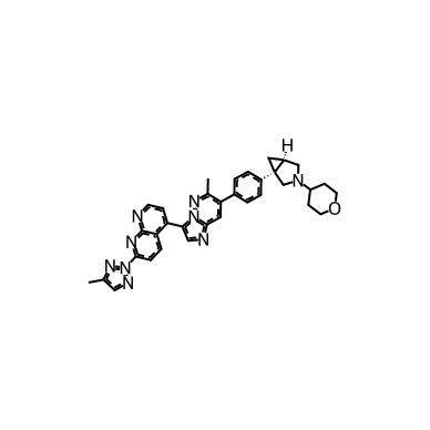 Cc1cnn(-c2ccc3c(-c4cnc5cc(-c6ccc([C@]78C[C@H]7CN(C7CCOCC7)C8)cc6)c(C)nn45)ccnc3n2)n1